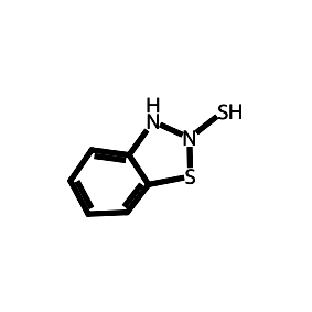 SN1Nc2ccccc2S1